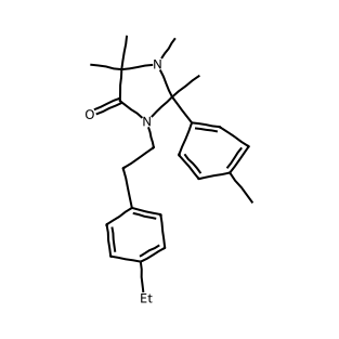 CCc1ccc(CCN2C(=O)C(C)(C)N(C)C2(C)c2ccc(C)cc2)cc1